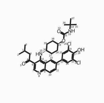 CC(C)CC(=O)c1cnc2ccc(-c3cc(Cl)c(O)c(Cl)c3)cc2c1N[C@H]1CC[C@H](OC(=O)NC(C)(C)C)CC1